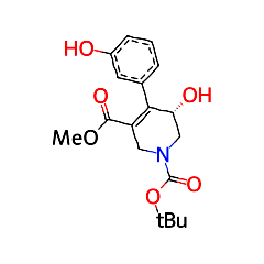 COC(=O)C1=C(c2cccc(O)c2)[C@H](O)CN(C(=O)OC(C)(C)C)C1